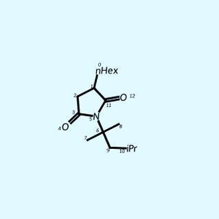 CCCCCCC1CC(=O)N(C(C)(C)CC(C)C)C1=O